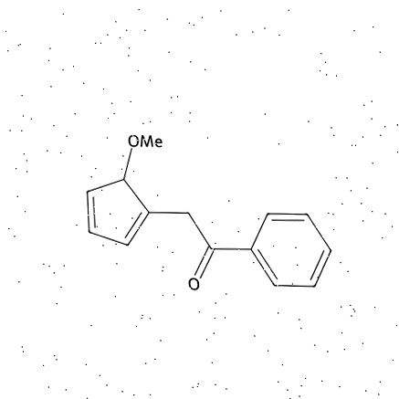 COC1C=CC=C1CC(=O)c1ccccc1